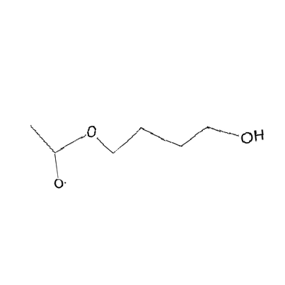 CC([O])OCCCCO